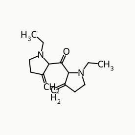 C=C1CCN(CC)C1C(=O)C1C(=C)CCN1CC